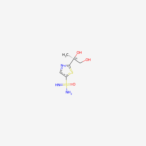 C[C@](O)(CO)c1ncc(S(=N)(N)=O)s1